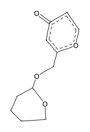 O=c1ccoc(COC2CCCCO2)c1